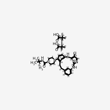 CC(C)(C)NC(=O)N1CCN(c2ccc3cc2CCc2cccc(c2)Nc2ncc(Cl)c(n2)N3)CC1.O=C(O)C(F)(F)F.O=C(O)C(F)(F)F